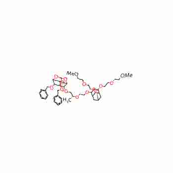 COCCOCCOC1C2CC3CC1C(OCCO[C@H](C)COC1C4OC5OC(C4OCc4ccccc4)C(OCc4ccccc4)C1O5)C(O3)C2OCCOCCOC